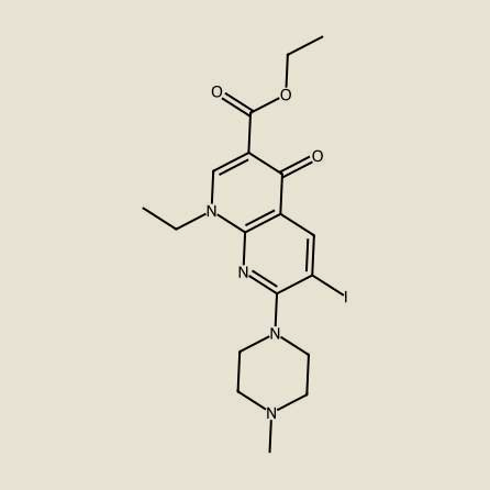 CCOC(=O)c1cn(CC)c2nc(N3CCN(C)CC3)c(I)cc2c1=O